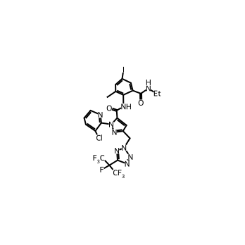 CCNC(=O)c1cc(I)cc(C)c1NC(=O)c1cc(Cn2nnc(C(F)(C(F)(F)F)C(F)(F)F)n2)nn1-c1ncccc1Cl